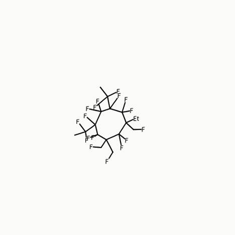 CCC1(CF)C(F)(F)C(CF)(CF)C(F)(F)C(F)(C(C)(F)F)C(F)(F)C(F)(C(C)(F)F)C1(F)F